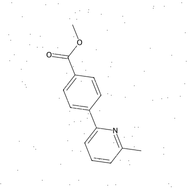 COC(=O)c1ccc(-c2cccc(C)n2)cc1